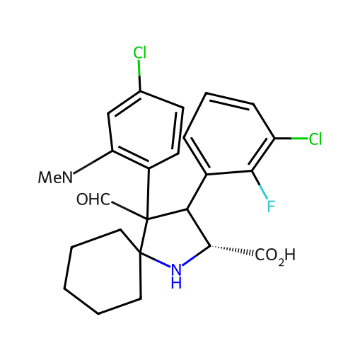 CNc1cc(Cl)ccc1C1(C=O)C(c2cccc(Cl)c2F)[C@H](C(=O)O)NC12CCCCC2